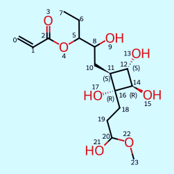 C=CC(=O)OC(CC)C(O)C[C@H]1[C@H](O)[C@@H](O)[C@@]1(O)CCC(O)OC